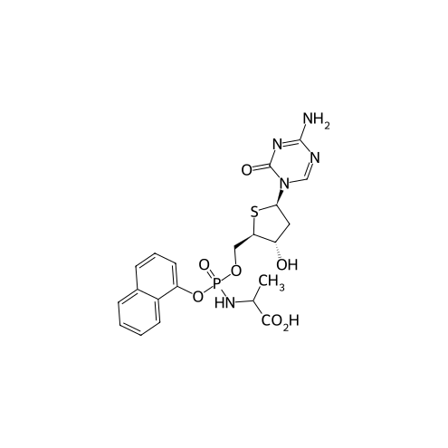 CC(NP(=O)(OC[C@H]1S[C@@H](n2cnc(N)nc2=O)C[C@@H]1O)Oc1cccc2ccccc12)C(=O)O